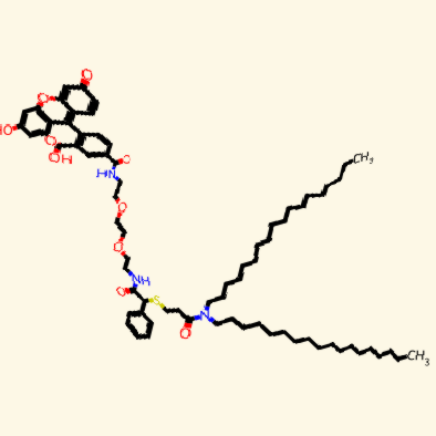 CCCCCCCCCCCCCCCCCCN(CCCCCCCCCCCCCCCCCC)C(=O)CCSC(C(=O)NCCOCCOCCNC(=O)c1ccc(-c2c3ccc(=O)cc-3oc3cc(O)ccc23)c(C(=O)O)c1)c1ccccc1